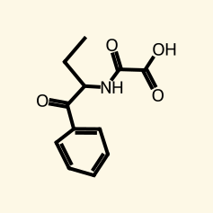 CCC(NC(=O)C(=O)O)C(=O)c1ccccc1